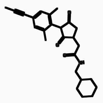 CC#Cc1cc(C)c(C2C(=O)CC(CC(=O)NCC3CCCCC3)C2=O)c(C)c1